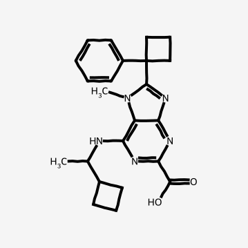 CC(Nc1nc(C(=O)O)nc2nc(C3(c4ccccc4)CCC3)n(C)c12)C1CCC1